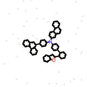 c1ccc(-c2cc3ccccc3o2)c(-c2ccc(N(c3ccc(-c4cc5ccccc5c5ccccc45)cc3)c3ccc4c(ccc5ccccc54)c3)cc2)c1